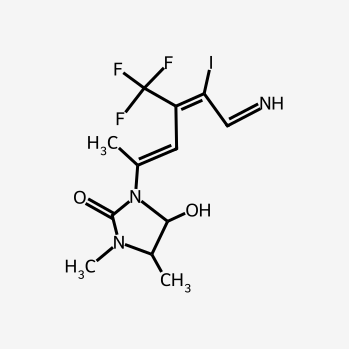 C/C(=C\C(=C(\I)C=N)C(F)(F)F)N1C(=O)N(C)C(C)C1O